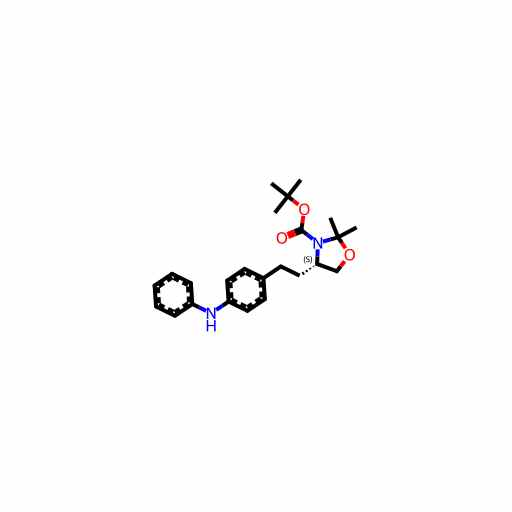 CC(C)(C)OC(=O)N1[C@@H](CCc2ccc(Nc3ccccc3)cc2)COC1(C)C